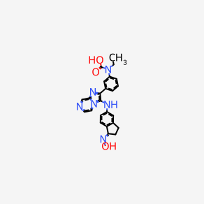 CCN(C(=O)O)c1cccc(-c2nc3cnccn3c2Nc2ccc3c(c2)CCC3=NO)c1